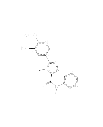 COc1ncc(-c2ncc(C(=O)N(C)c3cccnc3)n2C)cc1C#N